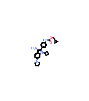 C[C@@H](OC(=O)Nc1ccc(-c2c(N)c3ccc(N4CCCC4)cc3n2C2CCC2)cc1)C1CC1